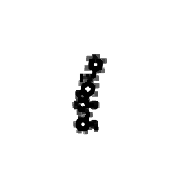 COc1ccccc1Cn1cnc2sc3c(c2c1=O)CCC(NCc1ccncc1)C3